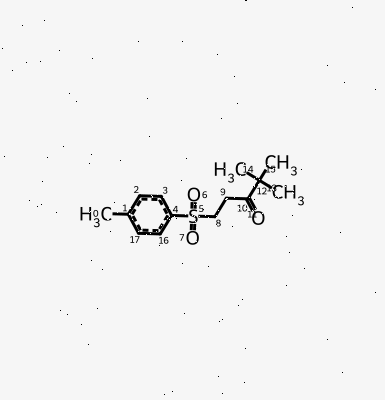 Cc1ccc(S(=O)(=O)CCC(=O)C(C)(C)C)cc1